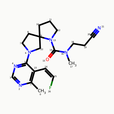 Cc1ncnc(N2CCC3(CCCN3C(=O)N(C)CCC#N)C2)c1/C=C\F